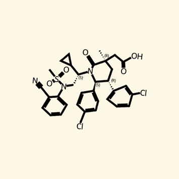 C[C@]1(CC(=O)O)C[C@H](c2cccc(Cl)c2)[C@@H](c2ccc(Cl)cc2)N([C@H](CN(c2ccccc2C#N)S(C)(=O)=O)C2CC2)C1=O